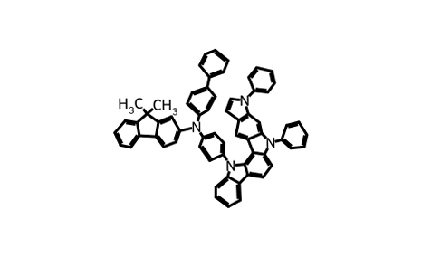 CC1(C)c2ccccc2-c2ccc(N(c3ccc(-c4ccccc4)cc3)c3ccc(-n4c5ccccc5c5ccc6c(c7cc8ccn(-c9ccccc9)c8cc7n6-c6ccccc6)c54)cc3)cc21